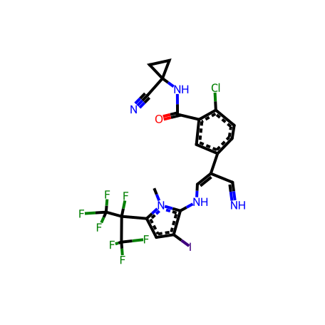 Cn1c(C(F)(C(F)(F)F)C(F)(F)F)cc(I)c1N/C=C(\C=N)c1ccc(Cl)c(C(=O)NC2(C#N)CC2)c1